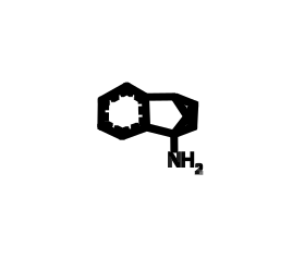 NC12C=CC(C1)c1ccccc12